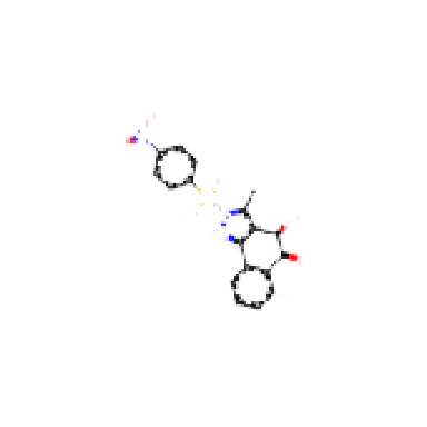 Cc1c2c(nn1S(=O)(=O)c1ccc([N+](=O)[O-])cc1)-c1ccccc1C(=O)C2=O